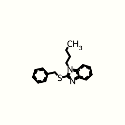 CCCCn1c(SCc2ccccc2)nc2ccccc21